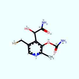 Cc1ncc(CS)c(C(O)C(N)=O)c1OC(N)=O